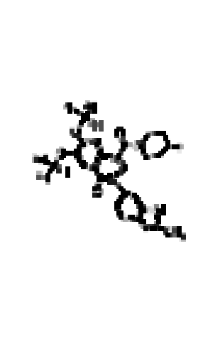 [2H]C([2H])([2H])Oc1cc2c(C(=O)N3CCC(F)CC3)cn(-c3ccc4cc(C)[nH]c4c3)c(=O)c2cc1OC([2H])([2H])[2H]